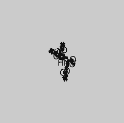 COC(=O)[C@H](Cc1ccc(OC(=O)CC(C)(C)C)c(OC(=O)CC(C)(C)C)c1)NCCOC(=O)CC(C)(C)C